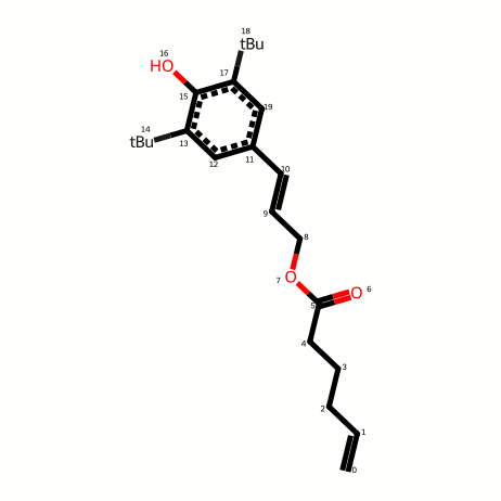 C=CCCCC(=O)OCC=Cc1cc(C(C)(C)C)c(O)c(C(C)(C)C)c1